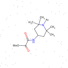 COC(=O)C(=O)NC1CC(C)(C)N(C(C)=O)C(C)(C)C1